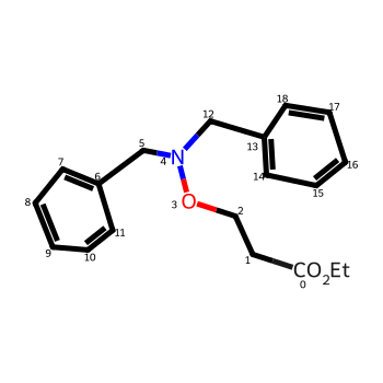 CCOC(=O)CCON(Cc1ccccc1)Cc1ccccc1